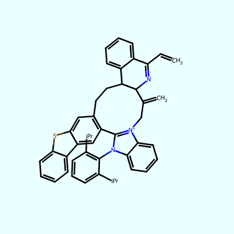 C=CC1=NC2C(=C)C[n+]3c(n(-c4c(C(C)C)cccc4C(C)C)c4ccccc43)-c3cc4c(cc3CCC2c2ccccc21)sc1ccccc14